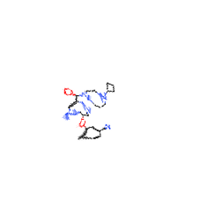 N#Cc1cccc(Oc2cnc(C(=O)N3CCN(C4CCC4)CC3)cn2)c1